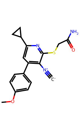 [C-]#[N+]c1c(-c2ccc(OC)cc2)cc(C2CC2)nc1SCC(N)=O